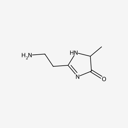 CC1NC(CCN)=NC1=O